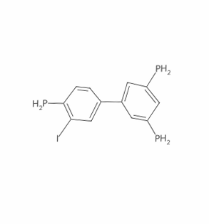 Pc1cc(P)cc(-c2ccc(P)c(I)c2)c1